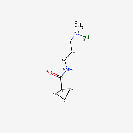 CN(Cl)CCCNC(=O)C1CCC1